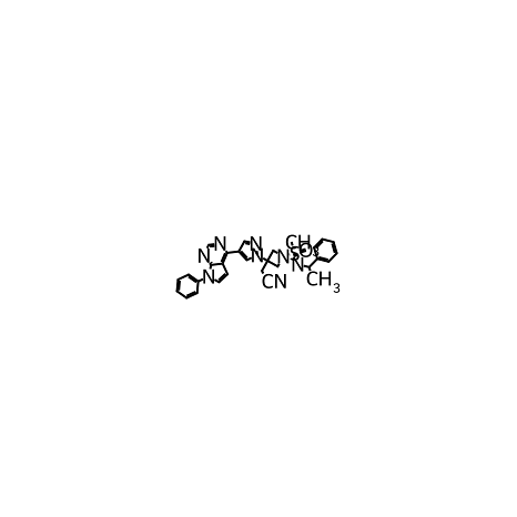 CC(N=S(C)(=O)N1CC(CC#N)(n2cc(-c3ncnc4c3ccn4-c3ccccc3)cn2)C1)c1ccccc1